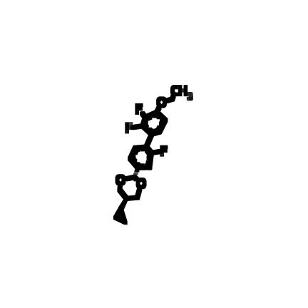 CCOc1ccc(-c2ccc([C@H]3OC[C@H](C4CC4)CO3)cc2F)c(F)c1F